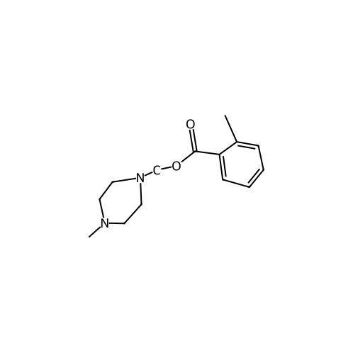 Cc1ccccc1C(=O)OCN1CCN(C)CC1